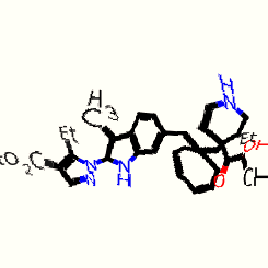 CCOC(=O)c1cnn(C2Nc3cc(CC4(C5(C(=O)C(C)O)CCNCC5CC)C=CC=CC4)ccc3C2C)c1CC